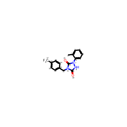 Cc1ccccc1-n1[nH]c(=O)n(Cc2ccc(C(F)(F)F)cc2)c1=O